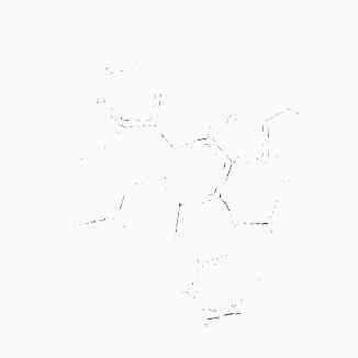 Cc1c([C@H](OC(C)(C)C)C(=O)O)c(-c2ccc(Cl)cc2)c2cc(C)n3c2c1N(c1ncccn1)CC3